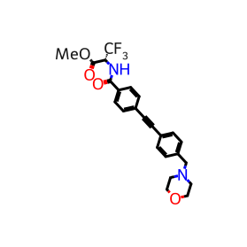 COC(=O)[C@@H](NC(=O)c1ccc(C#Cc2ccc(CN3CCOCC3)cc2)cc1)C(F)(F)F